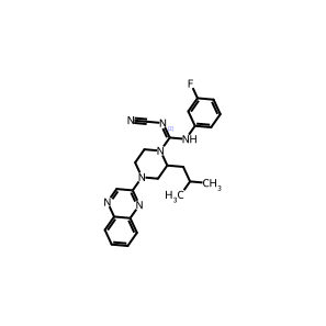 CC(C)CC1CN(c2cnc3ccccc3n2)CCN1/C(=N\C#N)Nc1cccc(F)c1